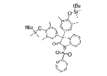 Cc1cc(C2(c3cc(C)c(O[Si](C)(C)C(C)(C)C)c(C)c3)C(=O)N(S(=O)(=O)c3ccccc3)c3ccccc32)cc(C)c1O[Si](C)(C)C(C)(C)C